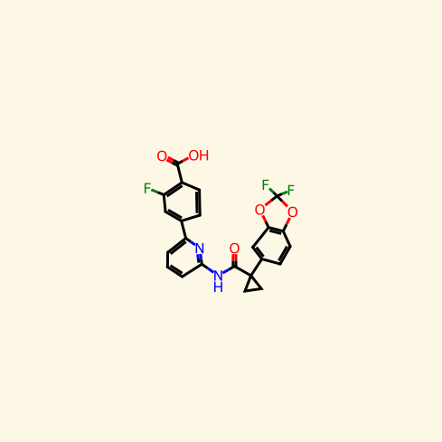 O=C(O)c1ccc(-c2cccc(NC(=O)C3(c4ccc5c(c4)OC(F)(F)O5)CC3)n2)cc1F